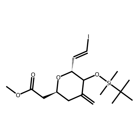 C=C1C[C@@H](CC(=O)OC)O[C@H](/C=C/I)C1O[Si](C)(C)C(C)(C)C